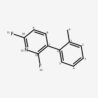 Cc1ccccc1-c1ccc(F)nc1F